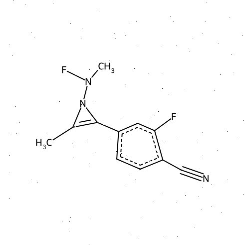 CC1=C(c2ccc(C#N)c(F)c2)N1N(C)F